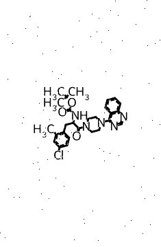 Cc1cc(Cl)ccc1CC(NC(=O)OC(C)(C)C)C(=O)N1CCN(c2ncnc3ccccc23)CC1